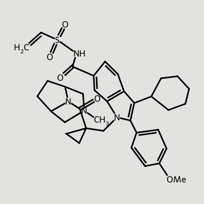 C=CS(=O)(=O)NC(=O)c1ccc2c(C3CCCCC3)c(-c3ccc(OC)cc3)n(CC3(C(=O)N4C5CCC4CN(C)C5)CC3)c2c1